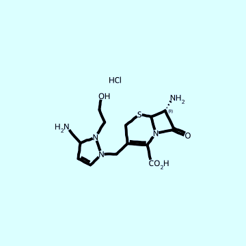 Cl.NC1C=CN(CC2=C(C(=O)O)N3C(=O)[C@@H](N)C3SC2)N1CCO